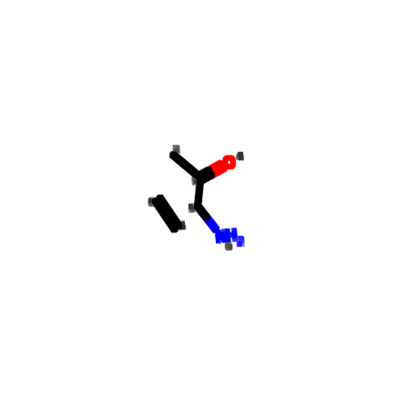 C=C.CC(=O)CN